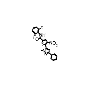 Cn1nc(-c2ccccc2)cc1-c1sc(C(=O)Nc2c(F)cccc2F)cc1[N+](=O)[O-]